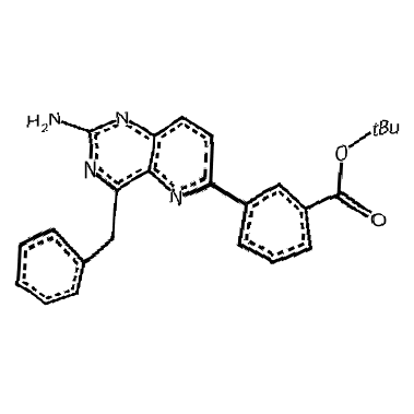 CC(C)(C)OC(=O)c1cccc(-c2ccc3nc(N)nc(Cc4ccccc4)c3n2)c1